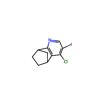 Clc1c(I)cnc2c1C1CCC2C1